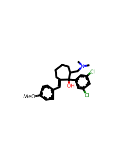 COc1ccc(C=C2CCCCC(CN(C)C)C2(O)c2cc(Cl)cc(Cl)c2)cc1